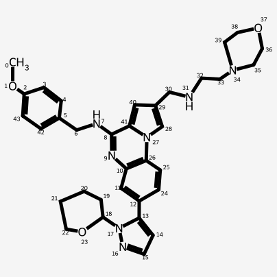 COc1ccc(CNc2nc3cc(-c4ccnn4C4CCCCO4)ccc3n3cc(CNCCN4CCOCC4)cc23)cc1